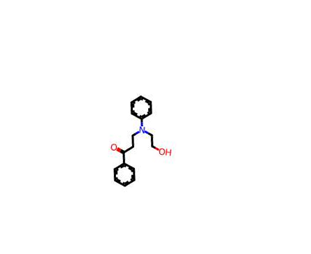 O=C(CCN(CCO)c1ccccc1)c1ccccc1